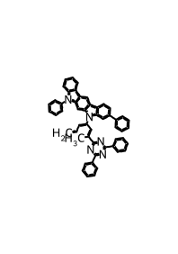 C=C/C=C(\C=C(/C)c1nc(-c2ccccc2)nc(-c2ccccc2)n1)n1c2cc(-c3ccccc3)ccc2c2cc3c4ccccc4n(-c4ccccc4)c3cc21